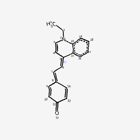 CCN1C=C/C(=C\C=C2C=CC(=O)C=C2)c2ccccc21